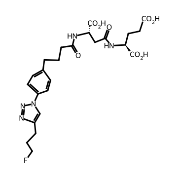 O=C(O)CC[C@H](NC(=O)C[C@H](NC(=O)CCCc1ccc(-n2cc(CCCF)nn2)cc1)C(=O)O)C(=O)O